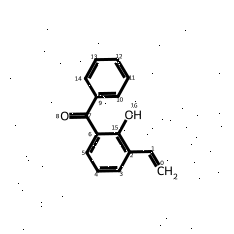 C=Cc1cccc(C(=O)c2ccccc2)c1O